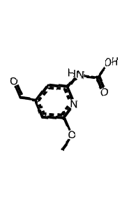 COc1cc(C=O)cc(NC(=O)O)n1